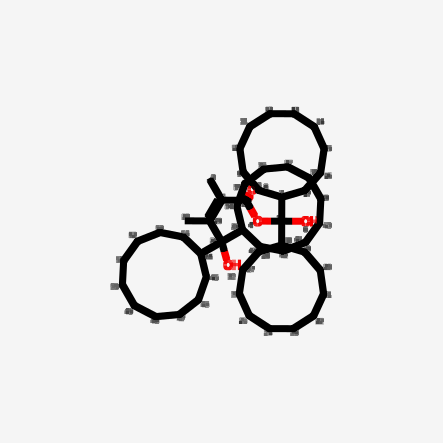 CC(C(=O)OC(O)(C1CCCCCCCCCC1)C1CCCCCCCCCC1)=C(C)C(O)(C1CCCCCCCCCC1)C1CCCCCCCCCC1